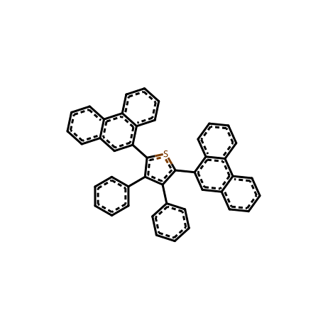 c1ccc(-c2c(-c3cc4ccccc4c4ccccc34)sc(-c3cc4ccccc4c4ccccc34)c2-c2ccccc2)cc1